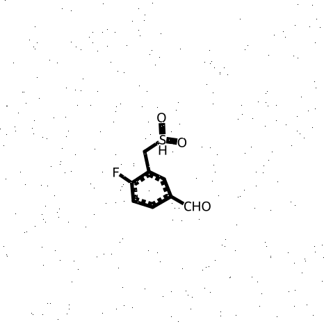 O=Cc1ccc(F)c(C[SH](=O)=O)c1